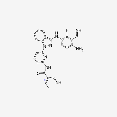 C/C=C(\C=N)C(=O)Nc1cccc(-n2nc(Nc3ccc(N)c(C=N)c3F)c3ccccc32)n1